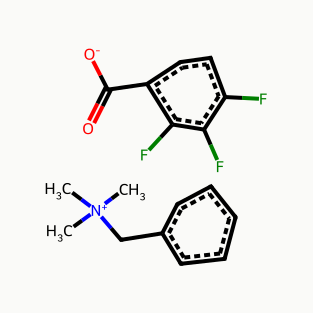 C[N+](C)(C)Cc1ccccc1.O=C([O-])c1ccc(F)c(F)c1F